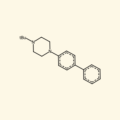 CC(C)(C)N1CCN(c2ccc(-c3ccccc3)cc2)CC1